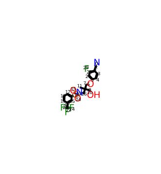 N#Cc1ccc(OCC2(CO)CN(S(=O)(=O)c3cccc(C(F)(F)F)c3)C2)cc1F